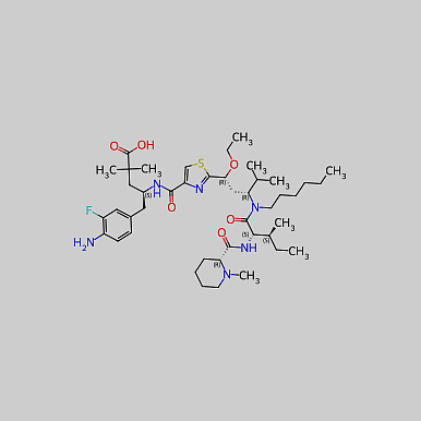 CCCCCCN(C(=O)[C@@H](NC(=O)[C@H]1CCCCN1C)[C@@H](C)CC)[C@H](C[C@@H](OCC)c1nc(C(=O)N[C@@H](Cc2ccc(N)c(F)c2)CC(C)(C)C(=O)O)cs1)C(C)C